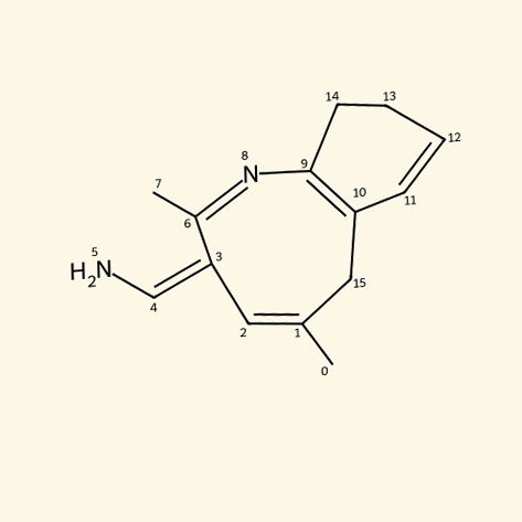 C/C1=C/C(=C/N)C(/C)=N\C2=C(C=CCC2)C1